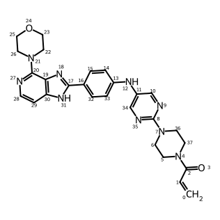 C=CC(=O)N1CCN(c2ncc(Nc3ccc(-c4nc5c(N6CCOCC6)nccc5[nH]4)cc3)cn2)CC1